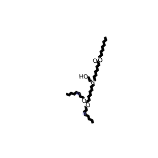 CCCC/C=C\CCOC(CCCCCCCN(CCO)CCCCCCCC(=O)OCCCCCCCCC)OCC/C=C\CCCC